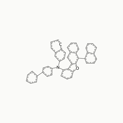 c1ccc(-c2ccc(N(c3ccc4ccccc4c3)c3cccc4oc5c(-c6cccc7ccccc67)c6ccccc6cc5c34)cc2)cc1